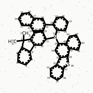 CC1(C)c2ccccc2-c2cc(N(c3ccccc3-c3ccc4ccccc4c3)c3cc4c5ccccc5sc4c4ccccc34)ccc21